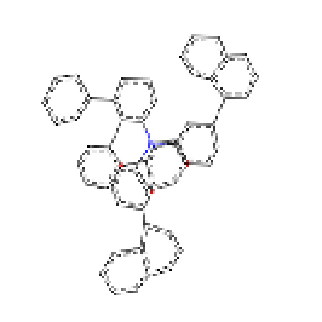 c1ccc(-c2ccccc2-c2c(-c3ccccc3)cccc2N(c2cccc(-c3cccc4ccccc34)c2)c2cccc(-c3cccc4ccccc34)c2)cc1